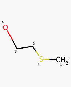 [CH2]SCC[O]